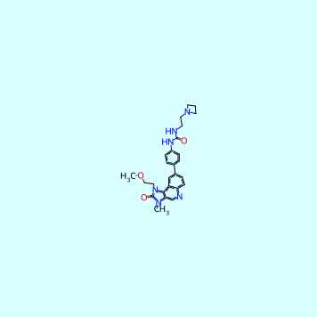 COCCn1c(=O)n(C)c2cnc3ccc(-c4ccc(NC(=O)NCCN5CCC5)cc4)cc3c21